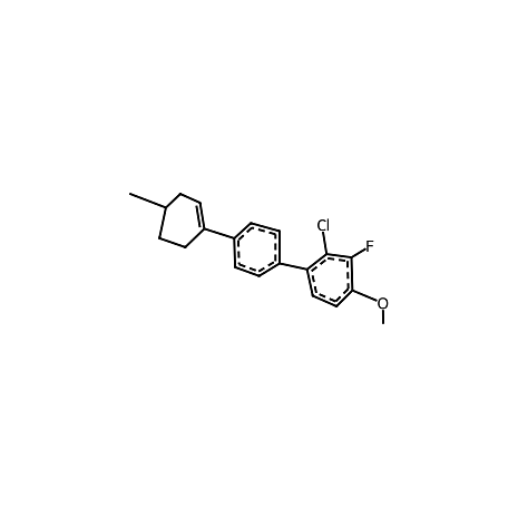 COc1ccc(-c2ccc(C3=CCC(C)CC3)cc2)c(Cl)c1F